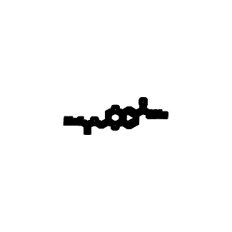 C=C(OCC1COc2cc(C(=O)OC)ccc2O1)SC